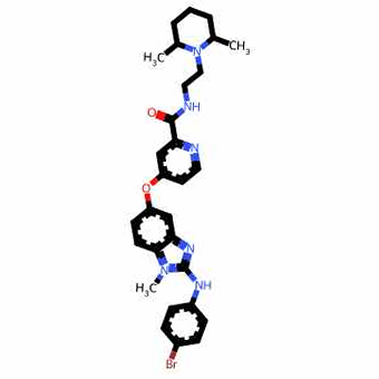 CC1CCCC(C)N1CCNC(=O)c1cc(Oc2ccc3c(c2)nc(Nc2ccc(Br)cc2)n3C)ccn1